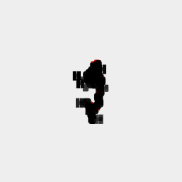 CN[C@@H](C)C(=O)N[C@H](C(=O)N1Cc2cc(OCCOCCOCCOCCOc3ccc(Oc4c(-c5ccc(O)cc5)sc5cc(O)ccc45)cc3)ccc2CC1C(=O)N[C@@H]1CCCc2ccccc21)C(C)(C)C